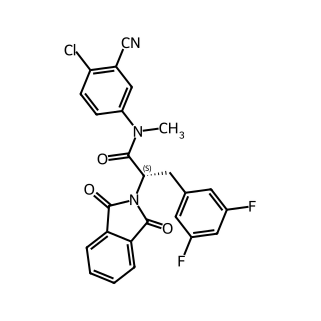 CN(C(=O)[C@H](Cc1cc(F)cc(F)c1)N1C(=O)c2ccccc2C1=O)c1ccc(Cl)c(C#N)c1